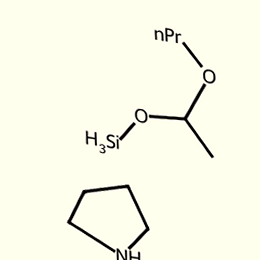 C1CCNC1.CCCOC(C)O[SiH3]